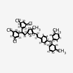 Cc1cccc(N(c2ccc(C=Cc3sc(C=C(c4cc(Cl)cc(Cl)c4)c4cc(Cl)cc(Cl)c4)cc3C)cc2)c2cccc(C)c2)c1